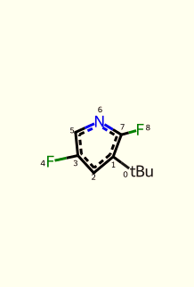 CC(C)(C)c1cc(F)cnc1F